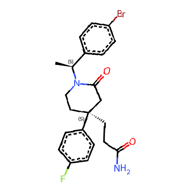 C[C@@H](c1ccc(Br)cc1)N1CC[C@](CCC(N)=O)(c2ccc(F)cc2)CC1=O